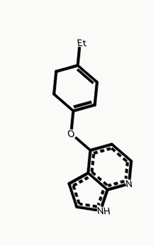 CCC1=CC=C(Oc2ccnc3[nH]ccc23)CC1